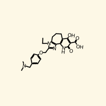 CCn1c(COc2ccc(CN(C)C)cc2)nc2c1CCCc1c-2[nH]c(=O)c(C(=O)O)c1O